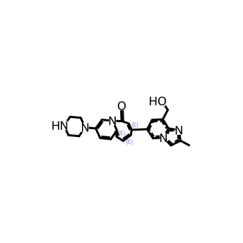 Cc1cn2cc(C3=C\C(=O)N4C=C(N5CCNCC5)C=C\C4=C/C=C/3)cc(CO)c2n1